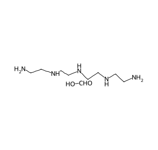 NCCNCCNCCNCCN.O=CO